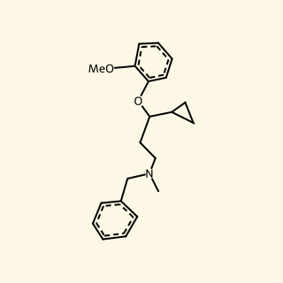 COc1ccccc1OC(CCN(C)Cc1ccccc1)C1CC1